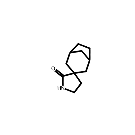 O=C1NCCC12CC1CCC(C1)C2